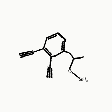 C#Cc1cccc(C(C)O[SiH3])c1C#C